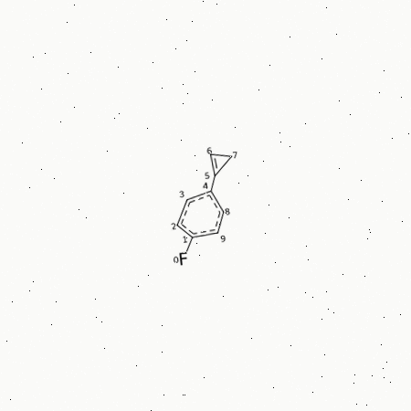 Fc1ccc(C2=CC2)cc1